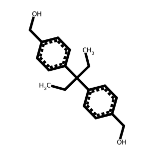 CCC(CC)(c1ccc(CO)cc1)c1ccc(CO)cc1